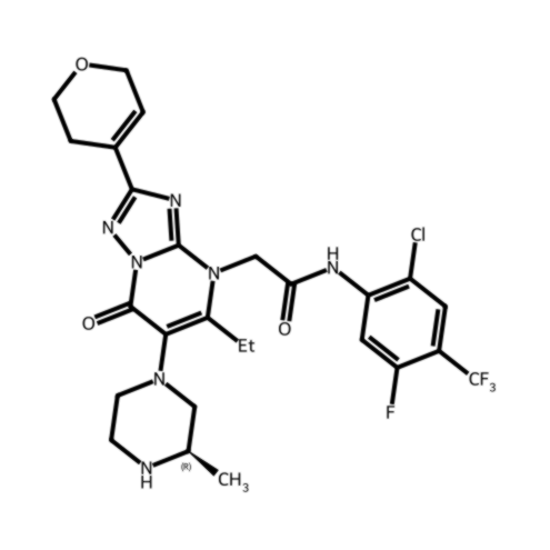 CCc1c(N2CCN[C@H](C)C2)c(=O)n2nc(C3=CCOCC3)nc2n1CC(=O)Nc1cc(F)c(C(F)(F)F)cc1Cl